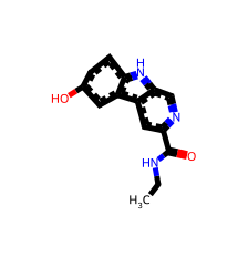 CCNC(=O)c1cc2c(cn1)[nH]c1ccc(O)cc12